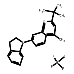 Cc1cc(C(C)(C)C)[o+]c2cc(N3CCc4ccccc43)ccc12.F[B-](F)(F)F